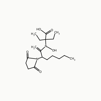 C=C(C(CCCCC)N1C(=O)CCC1=O)N(O)C(CC)(CC)C(=O)O